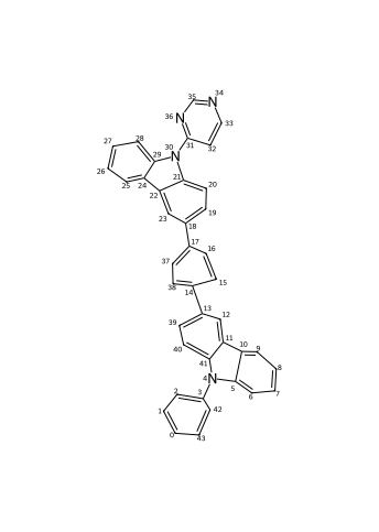 c1ccc(-n2c3ccccc3c3cc(-c4ccc(-c5ccc6c(c5)c5ccccc5n6-c5ccncn5)cc4)ccc32)cc1